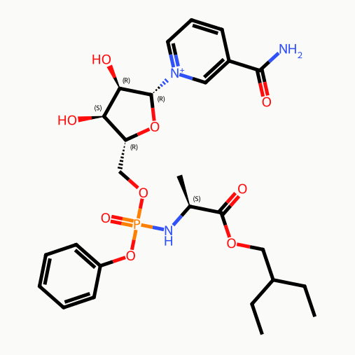 CCC(CC)COC(=O)[C@H](C)NP(=O)(OC[C@H]1O[C@@H]([n+]2cccc(C(N)=O)c2)[C@H](O)[C@@H]1O)Oc1ccccc1